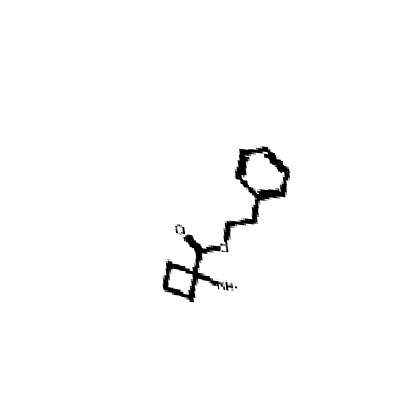 [NH]C1(C(=O)OCCc2ccccc2)CCC1